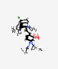 CCN(CC)c1ccc(/C=C/C2=[N+](C)c3ccc(F)cc3C2(C)C)c(O)c1